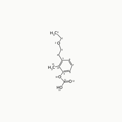 CCOCCc1cccc(OC(=O)O)c1C